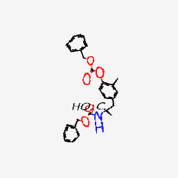 Cc1cc(C[C@](C)(NC(=O)OCc2ccccc2)C(=O)O)ccc1OC(=O)OCc1ccccc1